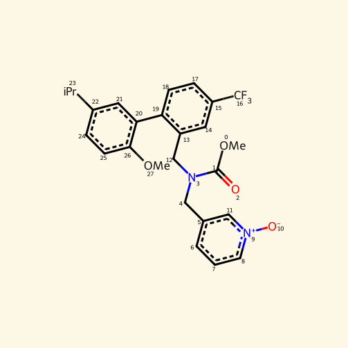 COC(=O)N(Cc1ccc[n+]([O-])c1)Cc1cc(C(F)(F)F)ccc1-c1cc(C(C)C)ccc1OC